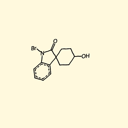 O=C1N(Br)c2ccccc2C12CCC(O)CC2